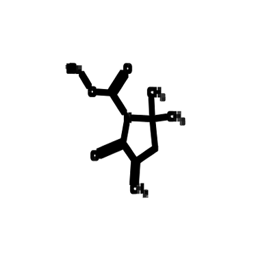 C=C1CC(C)(C)N(C(=O)OC(C)(C)C)C1=O